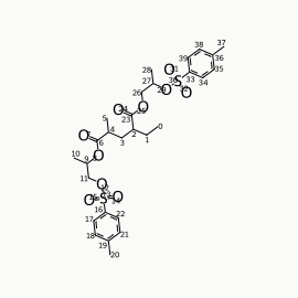 CCC(CC(C)C(=O)OC(C)COS(=O)(=O)c1ccc(C)cc1)C(=O)OCC(C)OS(=O)(=O)c1ccc(C)cc1